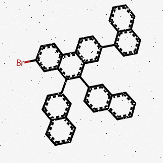 Brc1ccc2c(c1)c(-c1ccc3ccccc3c1)c(-c1ccc3ccccc3c1)c1cc(-c3cccc4ccccc34)ccc12